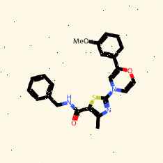 COC1=CCCC(C2=CN(c3nc(C)c(C(=O)NCc4ccccc4)s3)C=CO2)=C1